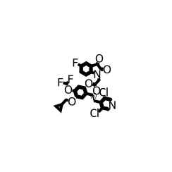 O=C(CN1C(=O)C(=O)c2cc(F)ccc21)O[C@@H](Cc1c(Cl)cncc1Cl)c1ccc(OC(F)F)c(OCC2CC2)c1